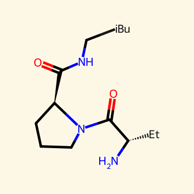 CCC(C)CNC(=O)[C@@H]1CCCN1C(=O)[C@@H](N)CC